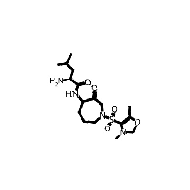 CC1=C(S(=O)(=O)N2CCCC(NC(=O)[C@@H](N)CC(C)C)C(=O)C2)N(C)CO1